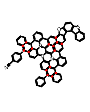 N#Cc1ccc(N(c2ccccc2)c2ccc3c(c2)N(c2c(-c4ccccc4)cccc2-c2ccccc2)c2cc(-c4ccc5c(c4)oc4ccc6sc7ccccc7c6c45)cc4c2B3c2ccc(N(c3ccccc3)c3ccccc3)cc2N4c2c(-c3ccccc3)cccc2-c2ccccc2)cc1